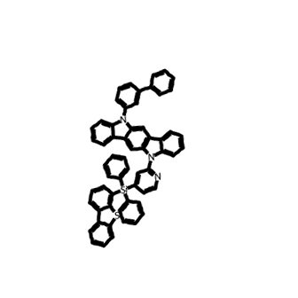 c1ccc(-c2cccc(-n3c4ccccc4c4cc5c(cc43)c3ccccc3n5-c3cc([Si](c4ccccc4)(c4ccccc4)c4cccc5c4sc4ccccc45)ccn3)c2)cc1